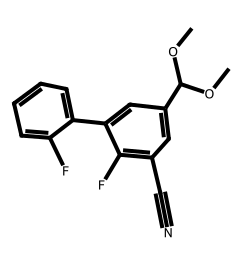 COC(OC)c1cc(C#N)c(F)c(-c2ccccc2F)c1